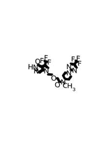 CN(C(=O)COCCn1cc(C(F)(F)F)c2c(=O)[nH]ncc21)C1CCN(c2ncc(C(F)(F)F)cn2)CC1